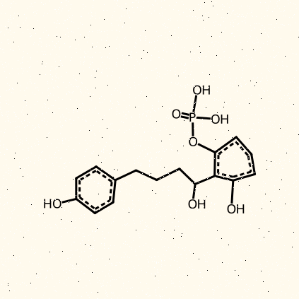 O=P(O)(O)Oc1cccc(O)c1C(O)CCCc1ccc(O)cc1